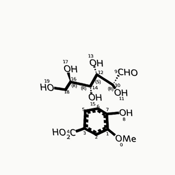 COc1cc(C(=O)O)ccc1O.O=C[C@H](O)[C@@H](O)[C@H](O)[C@H](O)CO